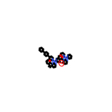 CC1(C)c2ccccc2-c2c(N(c3ccc(-c4ccc(-c5ccccc5)cc4)cc3)c3cc4c5c(cccc5c3)-c3c(cccc3N(c3ccccc3)c3ccccc3)O4)cccc21